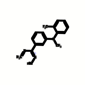 C=N/C(=N\CCCC)c1cccc(N(C)c2ccccc2C(F)(F)F)c1